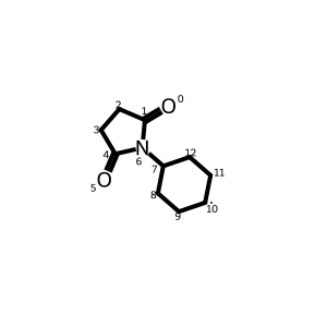 O=C1CCC(=O)N1C1CC[CH]CC1